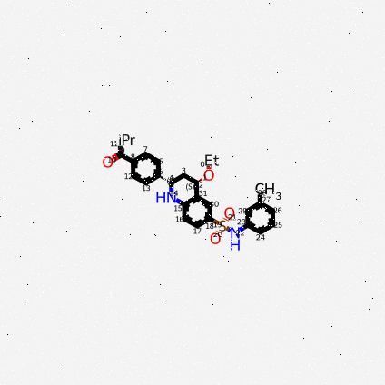 CCO[C@H]1C[C@@H](c2ccc(C(=O)C(C)C)cc2)Nc2ccc(S(=O)(=O)Nc3cccc(C)c3)cc21